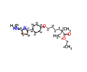 CCOC(=O)C(C)(C)CCCCOc1ccc(-c2csc(NC)n2)cc1